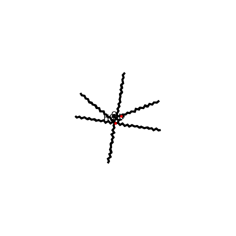 CCCCCC=CCC=CCCCCCCCCC(CCCCCCCCC=CCC=CCCCCC)C(CN(C)C)C(C(=O)O)(C(CCCCCCCCC=CCC=CCCCCC)CCCCCCCCC=CCC=CCCCCC)C(CCCCCCCCC=CCC=CCCCCC)CCCCCCCCC=CCC=CCCCCC